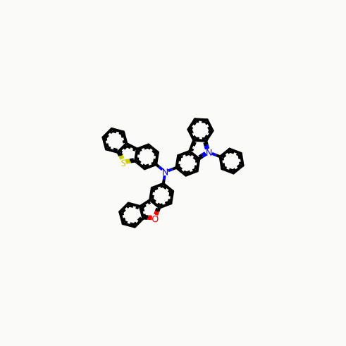 c1ccc(-n2c3ccccc3c3cc(N(c4ccc5c(c4)sc4ccccc45)c4ccc5oc6ccccc6c5c4)ccc32)cc1